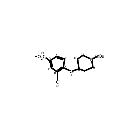 CCCCN1CCC(Oc2ccc(C(=O)O)cc2Cl)CC1